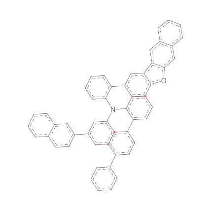 c1ccc(-c2ccc(-c3ccccc3N(c3cccc(-c4ccc5ccccc5c4)c3)c3ccccc3-c3ccc4oc5cc6ccccc6cc5c4c3)cc2)cc1